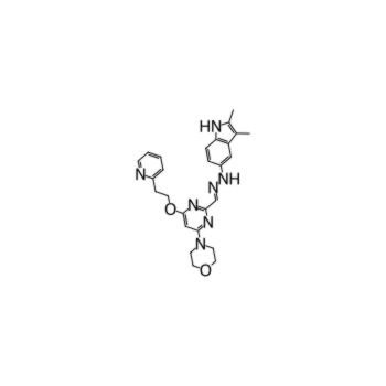 Cc1[nH]c2ccc(NN=Cc3nc(OCCc4ccccn4)cc(N4CCOCC4)n3)cc2c1C